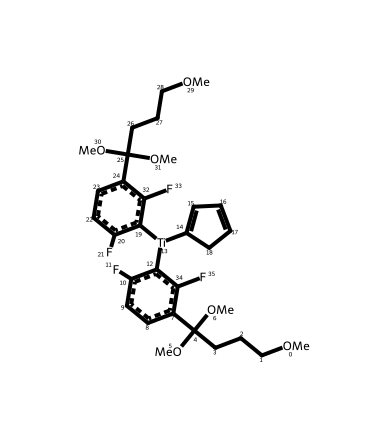 COCCCC(OC)(OC)c1ccc(F)[c]([Ti]([C]2=CC=CC2)[c]2c(F)ccc(C(CCCOC)(OC)OC)c2F)c1F